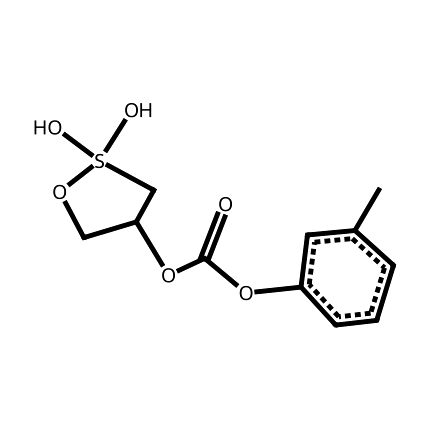 Cc1cccc(OC(=O)OC2COS(O)(O)C2)c1